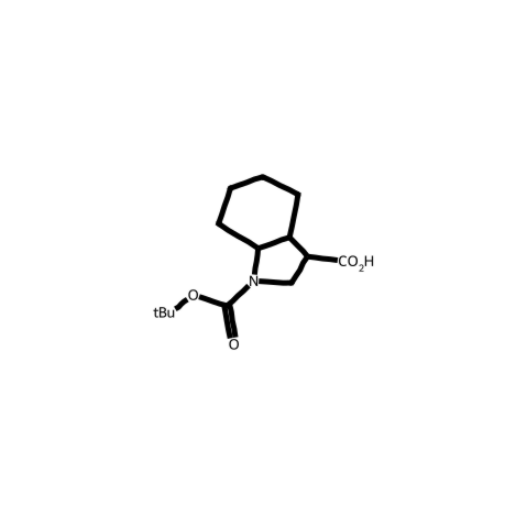 CC(C)(C)OC(=O)N1CC(C(=O)O)C2CCCCC21